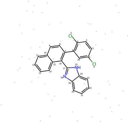 Clc1ccc(Cl)c(-c2ccc3ccccc3c2-c2nc3ccccc3[nH]2)c1